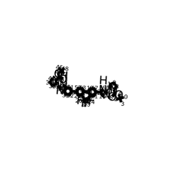 CC(C)(C)OC(=O)N1CCC[C@H]1c1ncc(-c2ccc3c(c2)C(F)(F)C(F)(F)c2cc(-c4ccc5nc([C@@H]6CCCN6C(=O)OC(C)(C)C)[nH]c5c4)ccc2-3)[nH]1